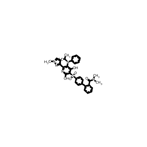 CC(C)N(c1ccccc1)c1c(-c2ccn(C)n2)nc(O)c(S(=O)(=O)c2ccc(-c3ccccc3C(=O)N(C)C)cc2)c1O